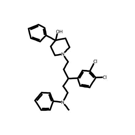 CN(CCC(CCN1CCC(O)(c2ccccc2)CC1)c1ccc(Cl)c(Cl)c1)c1ccccc1